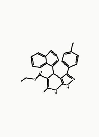 CCOC(=O)C1=C(C)Nc2[nH]nc(-c3ccc(C)cc3)c2C1c1cccc2ccccc12